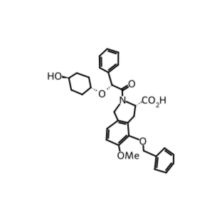 COc1ccc2c(c1OCc1ccccc1)C[C@@H](C(=O)O)N(C(=O)[C@H](O[C@H]1CC[C@H](O)CC1)c1ccccc1)C2